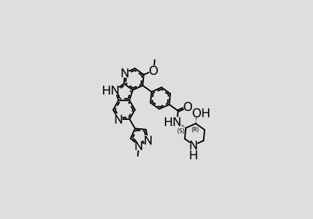 COc1cnc2[nH]c3cnc(-c4cnn(C)c4)cc3c2c1-c1ccc(C(=O)N[C@H]2CNCC[C@H]2O)cc1